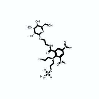 CS(=O)(=O)OCCN(CCBr)c1c(C(=O)NCCO[C@@H]2O[C@H](CO)[C@H](O)[C@@H](O)[C@H]2O)cc([N+](=O)[O-])cc1[N+](=O)[O-]